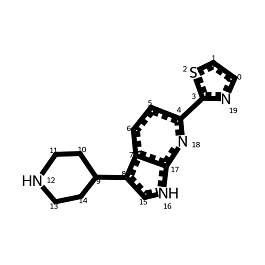 c1csc(-c2ccc3c(C4CCNCC4)c[nH]c3n2)n1